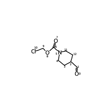 O=CC1CCN(C(=O)OCCl)CC1